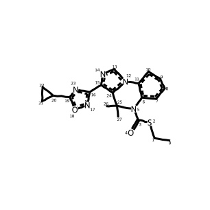 CCSC(=O)N1c2ccccc2-n2cnc(-c3noc(C4CC4)n3)c2C1(C)C